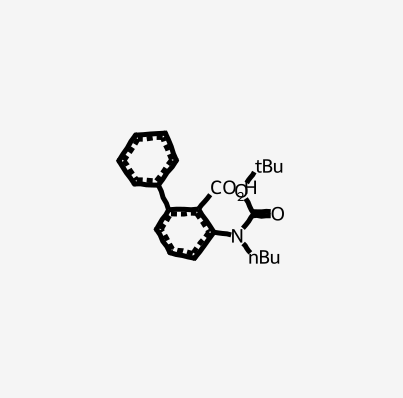 CCCCN(C(=O)OC(C)(C)C)c1cccc(-c2ccccc2)c1C(=O)O